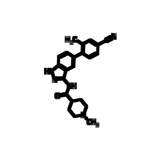 Cc1cc(C#N)ccc1-c1ccc2[nH]nc(NC(=O)C3CCN(C)CC3)c2c1